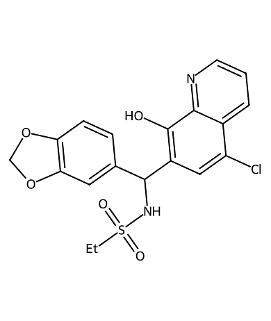 CCS(=O)(=O)NC(c1ccc2c(c1)OCO2)c1cc(Cl)c2cccnc2c1O